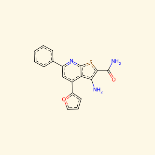 NC(=O)c1sc2nc(-c3ccccc3)cc(-c3ccco3)c2c1N